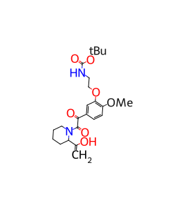 C=C(O)C1CCCCN1C(=O)C(=O)c1ccc(OC)c(OCCNC(=O)OC(C)(C)C)c1